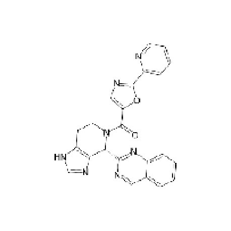 O=C(c1cnc(-c2ccccn2)o1)N1CCc2[nH]cnc2[C@H]1c1ncc2ccccc2n1